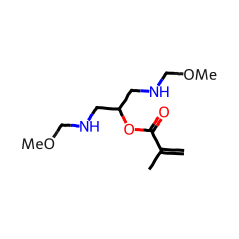 C=C(C)C(=O)OC(CNCOC)CNCOC